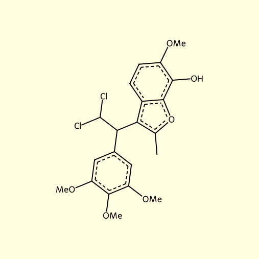 COc1cc(C(c2c(C)oc3c(O)c(OC)ccc23)C(Cl)Cl)cc(OC)c1OC